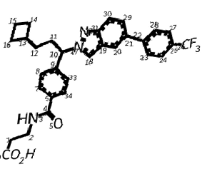 O=C(O)CCNC(=O)c1ccc(C(CCC2CCC2)n2cc3cc(-c4ccc(C(F)(F)F)cc4)ccc3n2)cc1